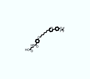 O=C(O)CCNC(=O)c1ccc(OCCCCCCc2ccc(-c3ccc(OC(F)(F)F)cc3)nc2)cc1